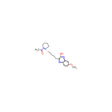 COc1ccc2nc(CCCCC[C@H]3CCCCN3C(C)=O)c(O)nc2c1